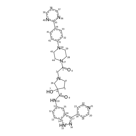 O=C(CN1CCC(O)(C(=O)Nc2ccc3[nH]nc(-c4ccncc4)c3c2)C1)N1CCN(c2ccc(-c3ncccn3)cc2)CC1